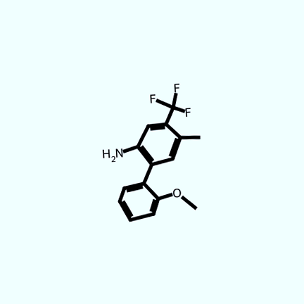 COc1ccccc1-c1cc(C)c(C(F)(F)F)cc1N